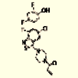 C=CC(=O)N1CCN(c2snc3c(F)c(-c4cc(O)c(F)cc4F)c(Cl)cc23)CC1